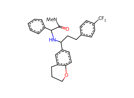 CNC(=O)C(NC(CCc1ccc(C(F)(F)F)cc1)c1ccc2c(c1)CCCO2)c1ccccc1